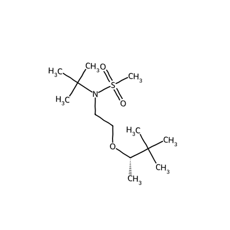 C[C@H](OCCN(C(C)(C)C)S(C)(=O)=O)C(C)(C)C